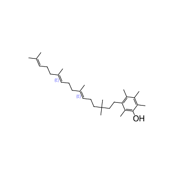 CC(C)=CCC/C(C)=C/CC/C(C)=C/CCC(C)(C)CCc1c(C)c(C)c(C)c(O)c1C